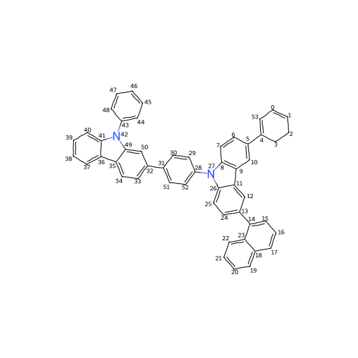 C1=CCCC(c2ccc3c(c2)c2cc(-c4cccc5ccccc45)ccc2n3-c2ccc(-c3ccc4c5ccccc5n(-c5ccccc5)c4c3)cc2)=C1